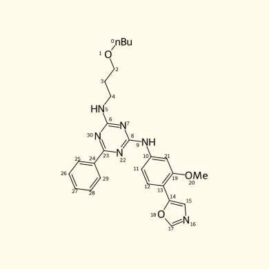 CCCCOCCCNc1nc(Nc2ccc(-c3cnco3)c(OC)c2)nc(-c2ccccc2)n1